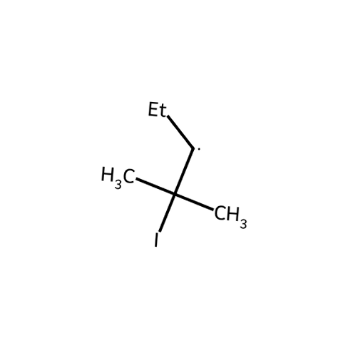 CC[CH]C(C)(C)I